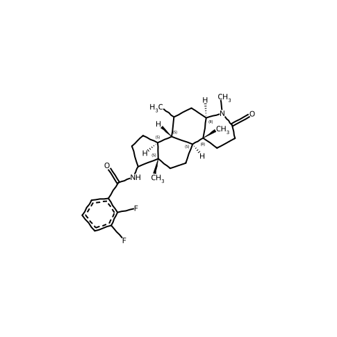 CC1C[C@H]2N(C)C(=O)CC[C@]2(C)[C@H]2CC[C@]3(C)C(NC(=O)c4cccc(F)c4F)CC[C@H]3[C@H]12